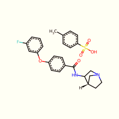 Cc1ccc(S(=O)(=O)O)cc1.O=C(NC1CN2CC[C@H]1C2)c1ccc(Oc2cccc(F)c2)cc1